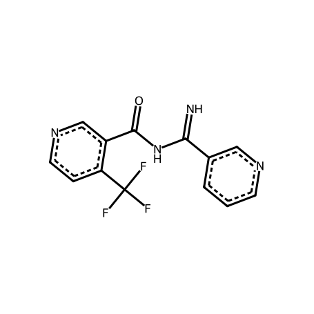 N=C(NC(=O)c1cnccc1C(F)(F)F)c1cccnc1